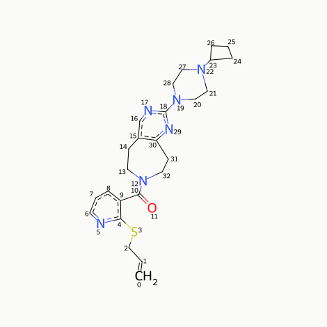 C=CCSc1ncccc1C(=O)N1CCc2cnc(N3CCN(C4CCC4)CC3)nc2CC1